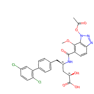 COc1c(C(=O)N[C@H](Cc2ccc(-c3cc(Cl)ccc3Cl)cc2)C[C@@H](O)C(=O)O)ccc2nnn(OC(C)=O)c12